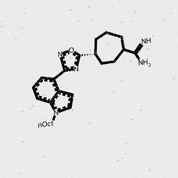 CCCCCCCCn1ccc2c(-c3noc([C@@H]4CCCC(C(=N)N)CC4)n3)cccc21